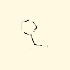 C[C@@H](N)[C@@H]1COCO1